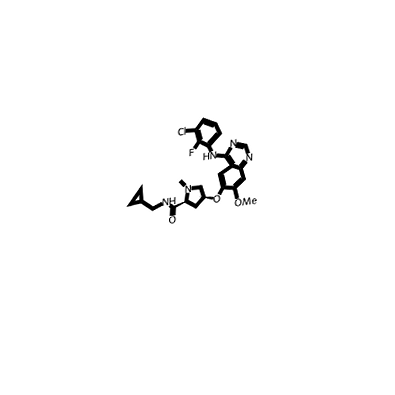 COc1cc2ncnc(Nc3cccc(Cl)c3F)c2cc1O[C@H]1C[C@@H](C(=O)NCC2CC2)N(C)C1